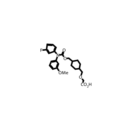 COc1cccc(N(C(=O)OCC2CCC(COCC(=O)O)CC2)c2cccc(F)c2)c1